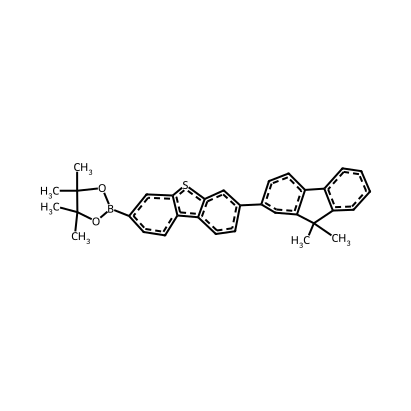 CC1(C)c2ccccc2-c2ccc(-c3ccc4c(c3)sc3cc(B5OC(C)(C)C(C)(C)O5)ccc34)cc21